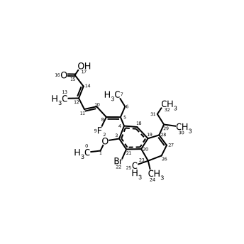 CCOc1c(C(CC)=C(F)C=CC(C)=CC(=O)O)cc2c(c1Br)C(C)(C)CC=C2C(C)CC